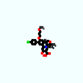 COCCCOc1cc2c(cc1-c1ccc(Cl)cc1)-c1cc(=O)c(C(=O)O)cn1[C@H]1[C@@H]2COC1(C)C